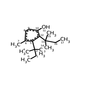 CCC(C)(C)c1c(C)ccc(O)c1C(C)(C)CC